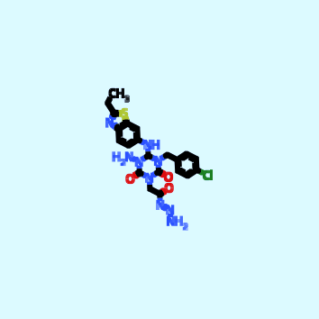 CCc1nc2ccc(NC3N(N)C(=O)N(CC(=O)N=NN)C(=O)N3Cc3ccc(Cl)cc3)cc2s1